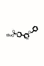 CC(C)(C)OC(=O)N1CC=C(c2cncc(OCc3ccccc3)c2)CC1